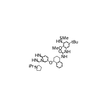 COc1c(NSC)cc(C(C)(C)C)cc1NC(=O)N[C@H]1CCC(Oc2ccc(=N)n(C(=N)[C@@H]3CCCN3C(C)C)c2)c2ccccc21